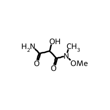 CON(C)C(=O)C(O)C(N)=O